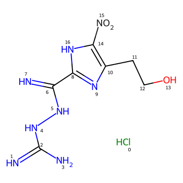 Cl.N=C(N)NNC(=N)c1nc(CCO)c([N+](=O)[O-])[nH]1